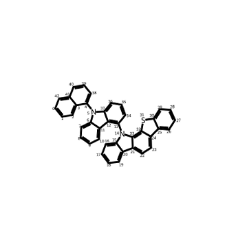 c1ccc2c(-n3c4ccccc4c4c(-n5c6ccccc6c6ccc7c8ccccc8sc7c65)cccc43)cccc2c1